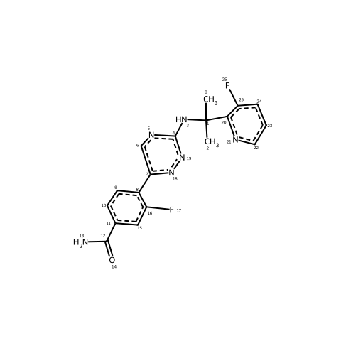 CC(C)(Nc1ncc(-c2ccc(C(N)=O)cc2F)nn1)c1ncccc1F